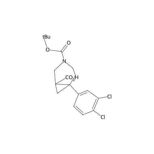 CC(C)(C)OC(=O)N1CCC2(c3ccc(Cl)c(Cl)c3)CC2(C(=O)O)C1